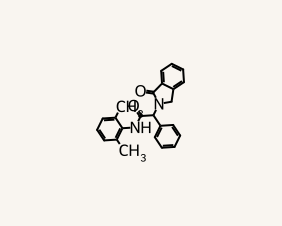 Cc1cccc(C)c1NC(=O)C(c1ccccc1)N1Cc2ccccc2C1=O